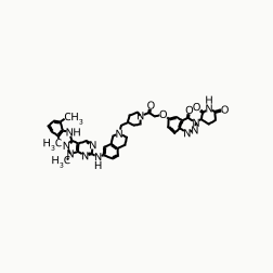 Cc1cccc(C)c1Nc1nn(C)c2nc(Nc3ccc4c(c3)CN(CC3CCN(C(=O)COc5ccc6nnn(C7CCC(=O)NC7=O)c(=O)c6c5)CC3)CC4)ncc12